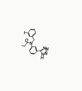 CCC(=O)N(Cc1cccc(I)c1)c1cccc(-c2nnn[nH]2)c1